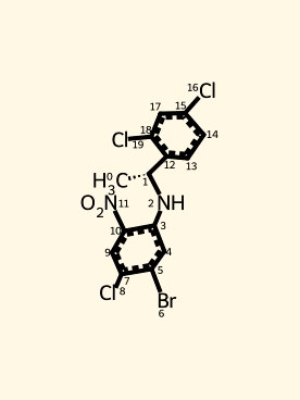 C[C@@H](Nc1cc(Br)c(Cl)cc1[N+](=O)[O-])c1ccc(Cl)cc1Cl